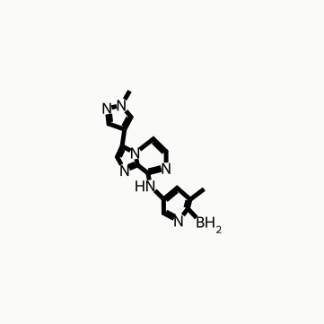 Bc1ncc(Nc2nccn3c(-c4cnn(C)c4)cnc23)cc1C